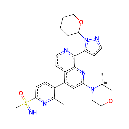 Cc1nc(S(C)(=N)=O)ccc1-c1cc(N2CCOC[C@H]2C)nc2c(-c3ccnn3C3CCCCO3)nccc12